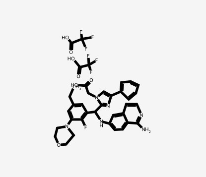 CCc1cc(C(Nc2ccc3c(N)nccc3c2)c2nc(-c3ccccc3)cn2CC(=O)O)c(F)c(N2CCOCC2)c1.O=C(O)C(F)(F)F.O=C(O)C(F)(F)F